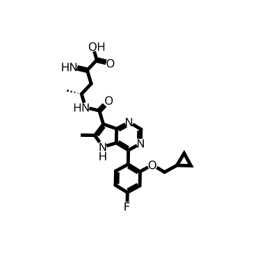 Cc1[nH]c2c(-c3ccc(F)cc3OCC3CC3)ncnc2c1C(=O)N[C@H](C)CC(=N)C(=O)O